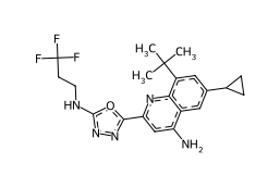 CC(C)(C)c1cc(C2CC2)cc2c(N)cc(-c3nnc(NCCC(F)(F)F)o3)nc12